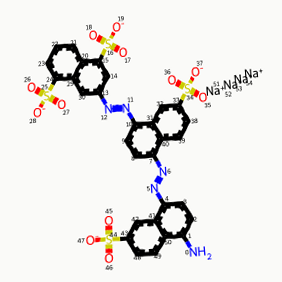 Nc1ccc(/N=N/c2ccc(/N=N/c3cc(S(=O)(=O)[O-])c4cccc(S(=O)(=O)[O-])c4c3)c3cc(S(=O)(=O)[O-])ccc23)c2cc(S(=O)(=O)[O-])ccc12.[Na+].[Na+].[Na+].[Na+]